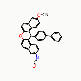 N#COc1ccc2c3c(ccc2c1)Oc1ccc2cc(N=C=O)ccc2c1C3c1ccc(-c2ccccc2)cc1